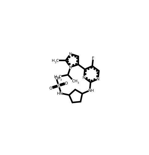 Cc1ncc(-c2nc(NC3CCC(NS(C)(=O)=O)C3)ncc2F)n1C(C)C